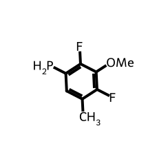 COc1c(F)c(C)cc(P)c1F